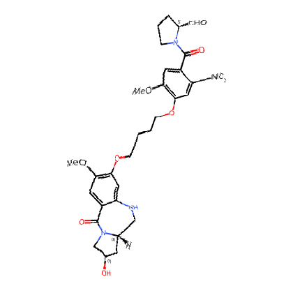 COc1cc2c(cc1OCCCCOc1cc([N+](=O)[O-])c(C(=O)N3CCC[C@H]3C=O)cc1OC)NC[C@@H]1C[C@@H](O)CN1C2=O